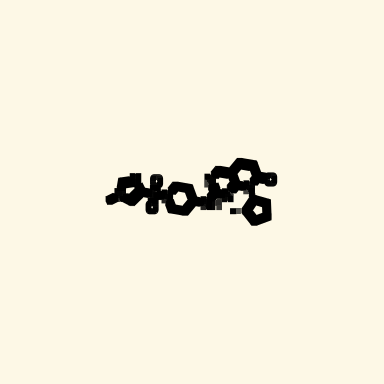 C[C@H]1CCC[C@H]1n1c(=O)ccc2cnc(NC3CCN(S(=O)(=O)c4cn(C)cn4)CC3)nc21